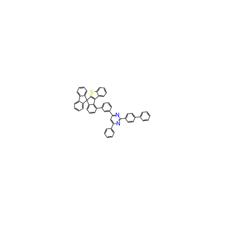 c1ccc(-c2ccc(-c3nc(-c4ccccc4)cc(-c4cccc(-c5cccc6c5-c5c(sc7ccccc57)C65c6ccccc6-c6ccccc65)c4)n3)cc2)cc1